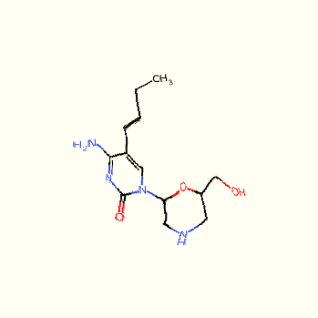 CCCCc1cn(C2CNCC(CO)O2)c(=O)nc1N